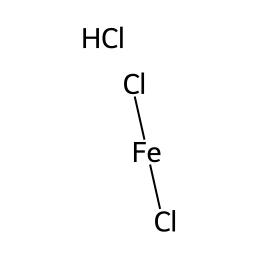 Cl.[Cl][Fe][Cl]